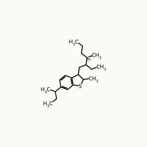 CCC[C@@H](C)C(CC)CC1c2ccc(C(C)CC)cc2SC1C